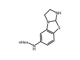 CCCCCCNc1ccc2c(c1)N1CCNC1S2